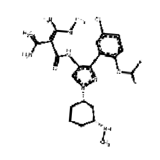 C=C(N)/C(C(=O)Nc1cn([C@H]2CCC[C@@H](NC)C2)nc1-c1cc(Cl)ccc1OC(F)F)=C(\N)NC